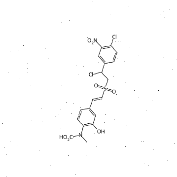 CN(C(=O)O)c1ccc(/C=C/S(=O)(=O)CC(Cl)c2ccc(Cl)c([N+](=O)[O-])c2)cc1O